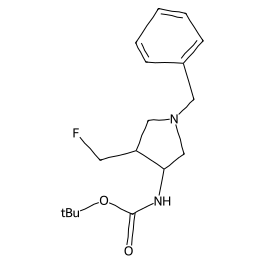 CC(C)(C)OC(=O)NC1CN(Cc2ccccc2)CC1CF